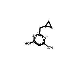 Oc1cc(O)nc(CC2CC2)n1